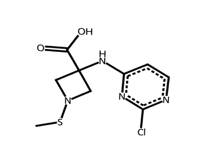 CSN1CC(Nc2ccnc(Cl)n2)(C(=O)O)C1